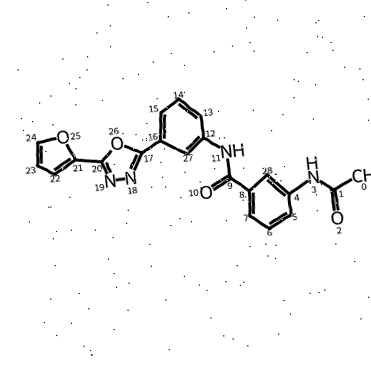 CC(=O)Nc1cccc(C(=O)Nc2cccc(-c3nnc(-c4ccco4)o3)c2)c1